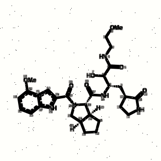 COCCNC(=O)C(O)[C@H](C[C@@H]1CCNC1=O)NC(=O)[C@@H]1[C@H]2CCC[C@H]2CN1C(=O)c1cc2c(OC)cccc2[nH]1